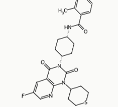 Cc1ccccc1C(=O)N[C@H]1CC[C@@H](n2c(=O)c3cc(F)cnc3n(C3CCSCC3)c2=O)CC1